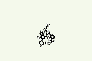 COc1c(N2CCN(C)CC2)cc(C(=O)NC(C)c2cccc(C(F)(F)CO)c2)c2c1cnn2COCC[Si](C)(C)C